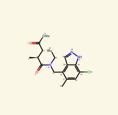 COC(=O)C[C@H](C)C(=O)N(Cc1c(C)cc(Cl)c2[nH]ncc12)CC(C)(C)C